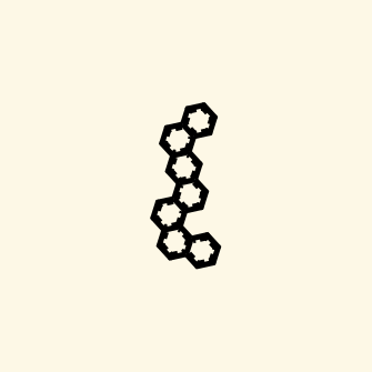 c1ccc2c(c1)ccc1cc3c(ccc4c3ccc3ccc5ccccc5c34)cc12